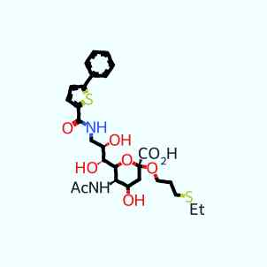 CCSCCCO[C@]1(C(=O)O)CC(O)[C@@H](NC(C)=O)C([C@H](O)[C@H](O)CNC(=O)c2ccc(-c3ccccc3)s2)O1